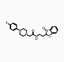 O=C(CN1CCN(c2ccc(F)cc2)CC1)NCCC1Sc2ccccc2[N+]1=O